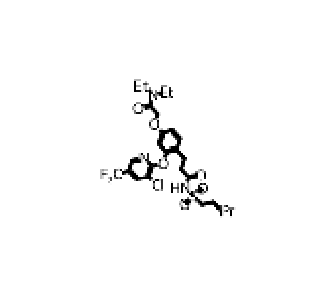 CCN(CC)C(=O)COc1ccc(CCC(=O)NS(=O)(=O)CCC(C)C)c(Oc2ncc(C(F)(F)F)cc2Cl)c1